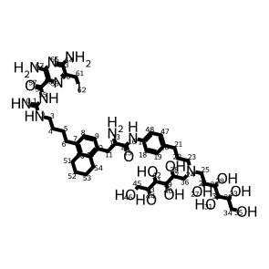 N=C(NCCCCc1ccc(CC(N)C(=O)Nc2ccc(CCCN(CC(O)C(O)C(O)C(O)CO)CC(O)C(O)C(O)C(O)CO)cc2)c2c1CCCC2)NC(=O)c1nc(CI)c(N)nc1N